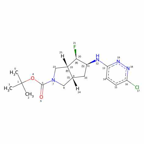 CC(C)(C)OC(=O)N1C[C@H]2C[C@H](Nc3ccc(Cl)nn3)[C@H](F)[C@H]2C1